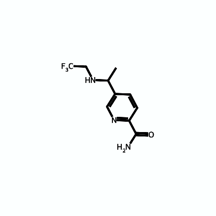 CC(NCC(F)(F)F)c1ccc(C(N)=O)nc1